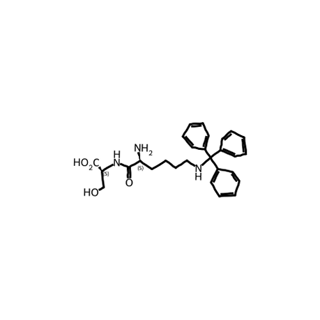 N[C@@H](CCCCNC(c1ccccc1)(c1ccccc1)c1ccccc1)C(=O)N[C@@H](CO)C(=O)O